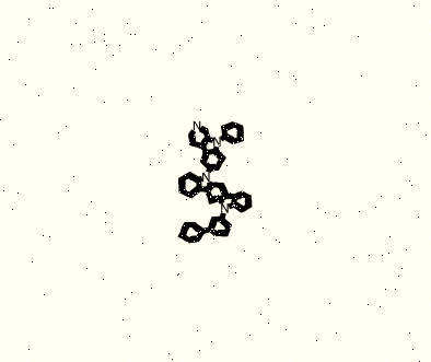 c1ccc(-c2cccc(-n3c4ccccc4c4cc5c(cc43)c3ccccc3n5-c3ccc4c(c3)c3ccncc3n4-c3ccccc3)c2)cc1